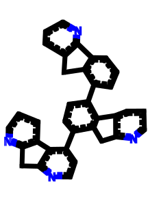 c1cnc2c(c1)Cc1c(-c3ccc(-c4ccnc5c4-c4cccnc4C5)c4c3-c3cccnc3C4)cccc1-2